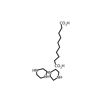 C1CNCCN1.C1CNCCN1.O=C(O)CCCCCCCCC(=O)O